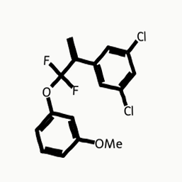 C=C(c1cc(Cl)cc(Cl)c1)C(F)(F)Oc1cccc(OC)c1